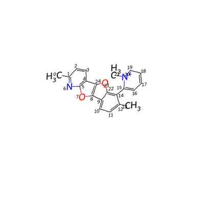 Cc1ccc2c(n1)oc1c3ccc(C)c(-c4cccc[n+]4C)c3oc21